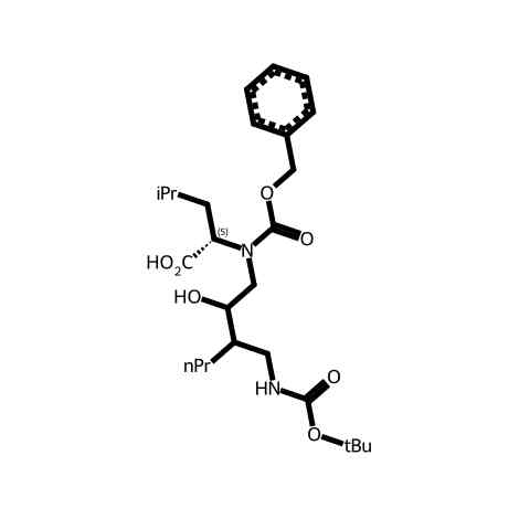 CCCC(CNC(=O)OC(C)(C)C)C(O)CN(C(=O)OCc1ccccc1)[C@@H](CC(C)C)C(=O)O